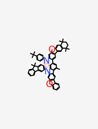 Cc1cc2c3c4c1c1cc5c(cc1n4-c1cc4c(cc1B3N(c1ccc(C(C)(C)C)cc1)c1cc3oc6cc7c(cc6c3cc1-2)C(C)(C)CCC7(C)C)C(C)(C)c1ccccc1-4)oc1ccccc15